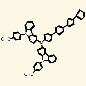 O=Cc1ccc(-n2c3ccccc3c3cc(N(c4ccc(-c5ccc(-c6ccc(-c7ccccc7)cc6)cc5)cc4)c4ccc5c(c4)c4ccccc4n5-c4ccc(C=O)cc4)ccc32)cc1